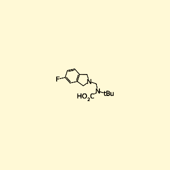 CC(C)(C)N(CN1Cc2ccc(F)cc2C1)C(=O)O